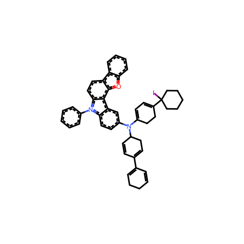 IC1(C2=CC=C(N(c3ccc4c(c3)c3c5oc6ccccc6c5ccc3n4-c3ccccc3)C3C=CC(C4=CCCC=C4)=CC3)CC2)CCCCC1